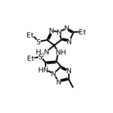 CCSC1=Nn2nc(CC)nc2C1(N)Nc1c(SCC)[nH]n2nc(C)nc12